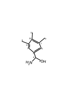 Cc1cc(C(N)O)cc(C)c1C